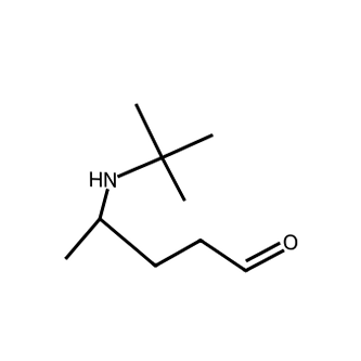 CC(CCC=O)NC(C)(C)C